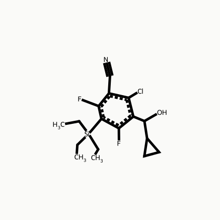 CC[Si](CC)(CC)c1c(F)c(C#N)c(Cl)c(C(O)C2CC2)c1F